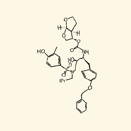 Cc1cc(S(=O)(=O)N(CC(C)C)C[C@@H](O)[C@H](Cc2ccc(OCc3ccccc3)cc2)NC(=O)O[C@H]2CO[C@H]3OCC[C@H]32)ccc1O